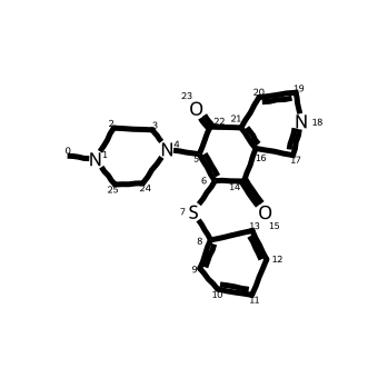 CN1CCN(C2=C(Sc3ccccc3)C(=O)c3cnccc3C2=O)CC1